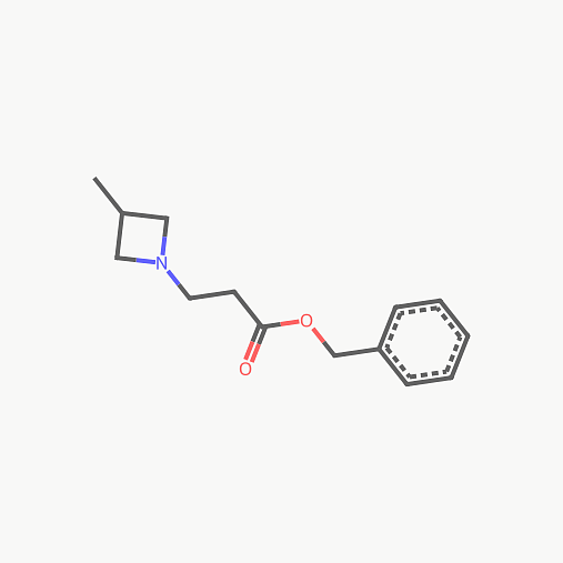 CC1CN(CCC(=O)OCc2ccccc2)C1